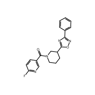 O=C(c1ccc(F)nc1)N1CCCC(c2nc(-c3ccccc3)no2)C1